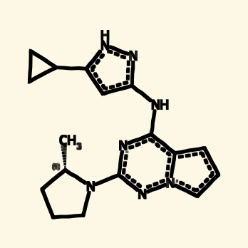 C[C@H]1CCCN1c1nc(Nc2cc(C3CC3)[nH]n2)c2cccn2n1